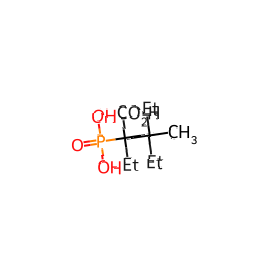 CCC(C)(CC)C(CC)(C(=O)O)P(=O)(O)O